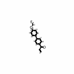 C=CC(=O)c1ccc(-c2ccc(OCF)cc2)cc1